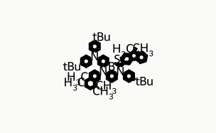 CC(C)(C)c1ccc(N(c2ccc(C(C)(C)C)cc2)c2ccc3c(c2)N(c2ccc4c(c2)C(C)(C)CCC4(C)C)c2cccc4c2B3c2sc3cc5c(cc3c2N4c2ccc(C(C)(C)C)cc2)-c2ccccc2C5(C)C)cc1